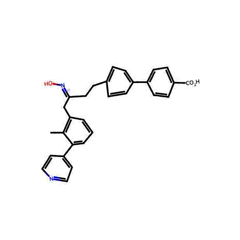 Cc1c(C/C(CCc2ccc(-c3ccc(C(=O)O)cc3)cc2)=N\O)cccc1-c1ccncc1